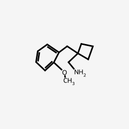 COc1ccccc1CC1(CN)CCC1